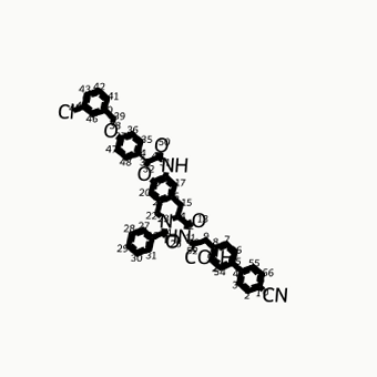 N#Cc1ccc(-c2ccc(C[C@H](NC(=O)C3Cc4cc5c(cc4CN3C(=O)c3ccccc3)O[C@@H](c3ccc(OCc4cccc(Cl)c4)cc3)C(=O)N5)C(=O)O)cc2)cc1